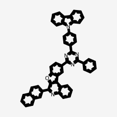 c1ccc(-c2nc(-c3ccc(-n4c5ccccc5c5ccccc54)cc3)nc(-c3ccc4oc5c(-c6ccc7ccccc7c6)nc6ccccc6c5c4c3)n2)cc1